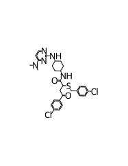 CN(C)c1ccnc(NC2CCC(NC(=O)C(CC(=O)c3ccc(Cl)cc3)SCc3ccc(Cl)cc3)CC2)n1